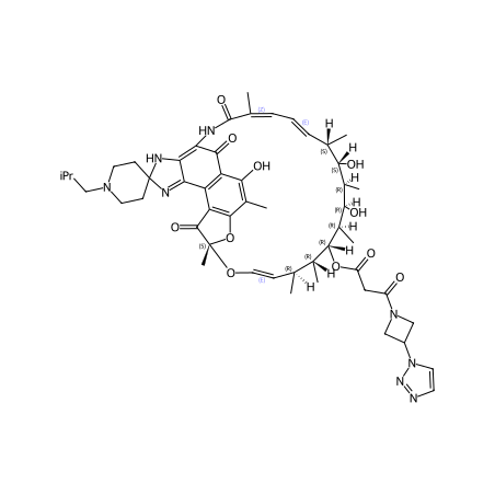 C/C1=C/C=C/[C@H](C)[C@H](O)[C@@H](C)[C@@H](O)[C@@H](C)[C@H](OC(=O)CC(=O)N2CC(n3ccnn3)C2)[C@H](C)[C@@H](C)/C=C/O[C@@]2(C)Oc3c(C)c(O)c4c(c3C2=O)C2=NC3(CCN(CC(C)C)CC3)NC2=C(NC1=O)C4=O